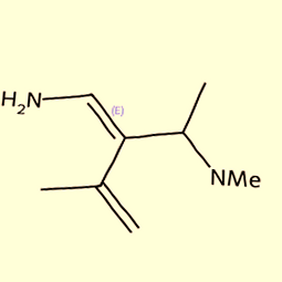 C=C(C)/C(=C\N)C(C)NC